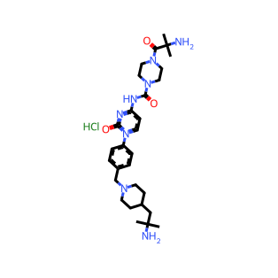 CC(C)(N)CC1CCN(Cc2ccc(-n3ccc(NC(=O)N4CCN(C(=O)C(C)(C)N)CC4)nc3=O)cc2)CC1.Cl